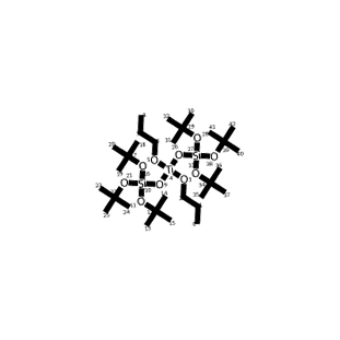 CCC[O][Ti]([O]CCC)([O][Si](OC(C)(C)C)(OC(C)(C)C)OC(C)(C)C)[O][Si](OC(C)(C)C)(OC(C)(C)C)OC(C)(C)C